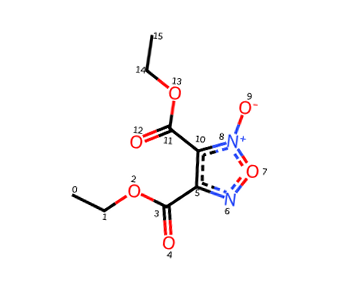 CCOC(=O)c1no[n+]([O-])c1C(=O)OCC